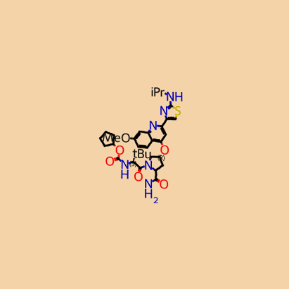 COc1ccc2c(O[C@@H]3CC(C(N)=O)N(C(=O)[C@@H](NC(=O)OC4CCCC4)C(C)(C)C)C3)cc(-c3csc(NC(C)C)n3)nc2c1